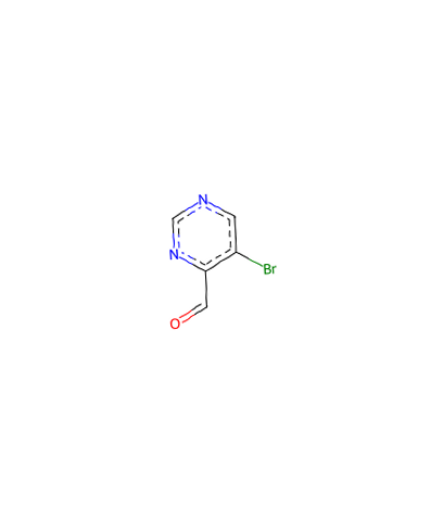 O=Cc1ncncc1Br